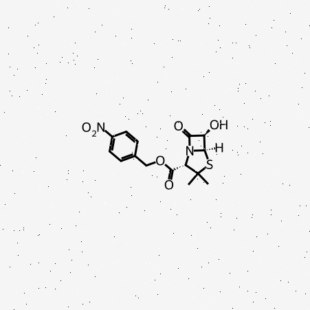 CC1(C)S[C@@H]2[C@H](O)C(=O)N2[C@H]1C(=O)OCc1ccc([N+](=O)[O-])cc1